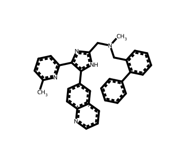 Cc1cccc(-c2nc(CN(C)Cc3ccccc3-c3ccccc3)[nH]c2-c2ccc3ncccc3c2)n1